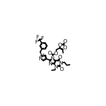 CCCn1c(=O)c2c(nc(-c3cnn(Cc4cccc(C(F)(F)F)c4)c3)n2C(=O)OCc2oc(=O)oc2C)n(CC)c1=O